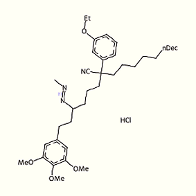 CCCCCCCCCCCCCCCC(C#N)(CCCC(CCc1cc(OC)c(OC)c(OC)c1)/N=N/C)c1cccc(OCC)c1.Cl